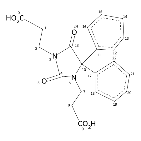 O=C(O)CCN1C(=O)N(CCC(=O)O)C(c2ccccc2)(c2ccccc2)C1=O